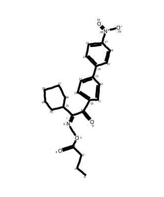 CCCC(=O)O/N=C(\C(=O)c1ccc(-c2ccc([N+](=O)[O-])cc2)cc1)C1CCCCC1